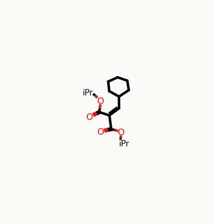 CC(C)OC(=O)C(=CC1CCCCC1)C(=O)OC(C)C